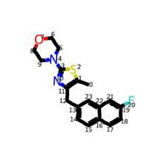 Cc1sc(N2CCOCC2)nc1Cc1ccc2ccc(F)cc2c1